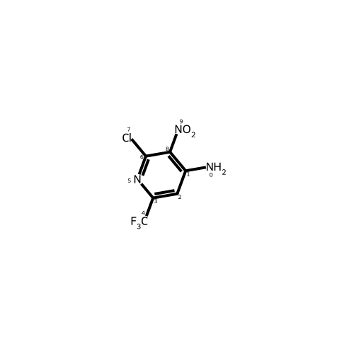 Nc1cc(C(F)(F)F)nc(Cl)c1[N+](=O)[O-]